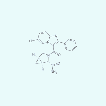 NC(=O)[C@@H]1[C@H]2C[C@H]2CN1C(=O)c1c(-c2ccccc2)nc2ccc(Cl)cn12